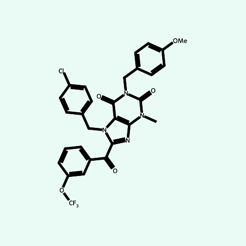 COc1ccc(Cn2c(=O)c3c(nc(C(=O)c4cccc(OC(F)(F)F)c4)n3Cc3ccc(Cl)cc3)n(C)c2=O)cc1